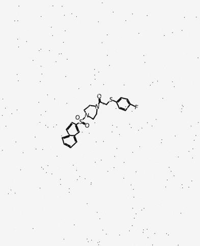 O=C(CSc1ccc(F)cc1)N1CCN(S(=O)(=O)c2ccc3ccccc3c2)CC1